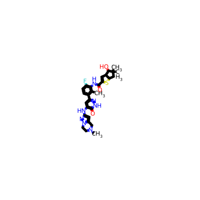 Cc1c(-c2cc(Nc3cc4n(n3)CCN(C)C4)c(=O)[nH]n2)ccc(F)c1NC(=O)C1=CC2C(CC(C)(C)C2O)S1